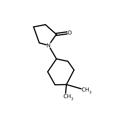 CC1(C)CCC(N2CCCC2=O)CC1